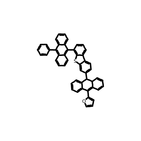 C1=CC2=C(c3ccco3)c3ccccc3C(c3ccc4c(c3)sc3c(-c5c6ccccc6c(-c6ccccc6)c6ccccc56)cccc34)C2C=C1